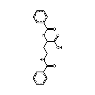 O=C(NCCC(NC(=O)c1ccccc1)C(=O)O)c1ccccc1